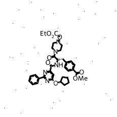 CCOC(=O)ON1CCN(C(=O)[C@H](Cc2ccc(C(=O)OC)cc2)NC(=O)c2cc(OC3CCCC3)nc(-c3ccccc3)n2)CC1